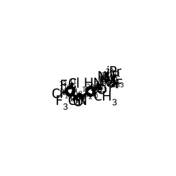 Cc1cc(C2=NOC(c3cc(Cl)c(F)c(Cl)c3)(C(F)(F)F)C2)ccc1C(=O)Nc1nc(C(C)C)n(C(F)C(F)F)n1